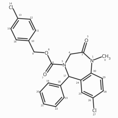 CN1C(=O)CN(C(=O)OCc2ccc(Cl)cc2)C(c2ccccc2)c2cc(Cl)ccc21